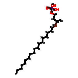 CCCCCCCCCCCCCCCCCCSC(C)CCOP(=O)(O)O